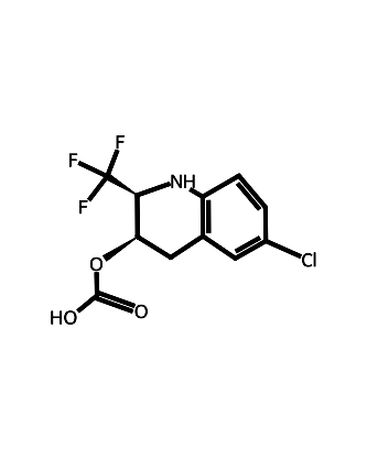 O=C(O)O[C@@H]1Cc2cc(Cl)ccc2N[C@@H]1C(F)(F)F